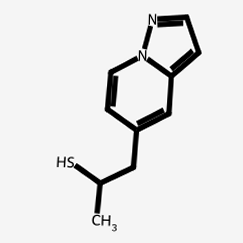 CC(S)Cc1ccn2nccc2c1